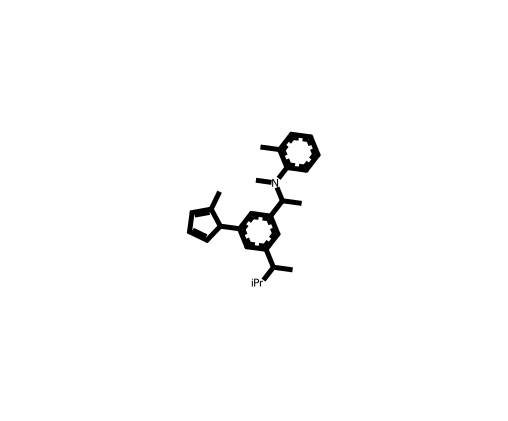 CC1=CC=CC1c1cc(C(C)C(C)C)cc(C(C)N(C)c2ccccc2C)c1